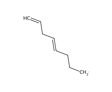 [CH]=CCC=CCC[CH2]